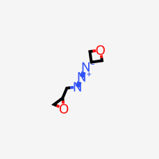 C1COC1.[N-]=[N+]=NCC1CO1